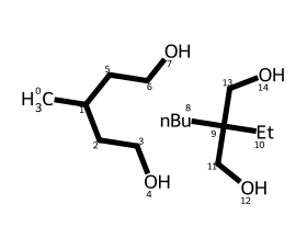 CC(CCO)CCO.CCCCC(CC)(CO)CO